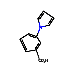 O=C(O)c1cccc(-n2cccc2)c1